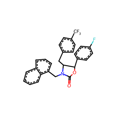 O=C1OC(c2ccc(F)cc2)C(Cc2ccc(C(F)(F)F)cc2)N1Cc1cccc2ccccc12